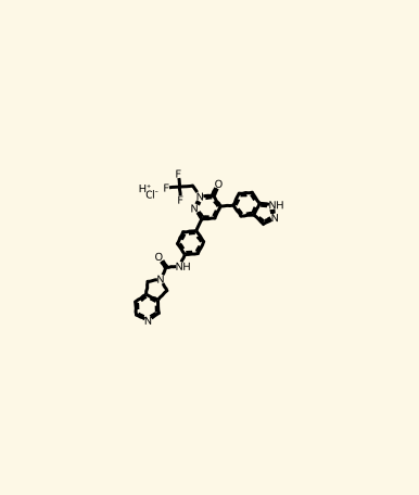 O=C(Nc1ccc(-c2cc(-c3ccc4[nH]ncc4c3)c(=O)n(CC(F)(F)F)n2)cc1)N1Cc2ccncc2C1.[Cl-].[H+]